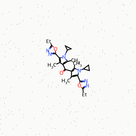 CCc1nnc(-c2c(C)c(C(=O)c3c(C)c(-c4nnc(CC)o4)n(C4CC4)c3C)c(C)n2C2CC2)o1